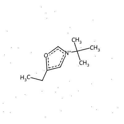 CCc1c[n+](C(C)(C)C)co1